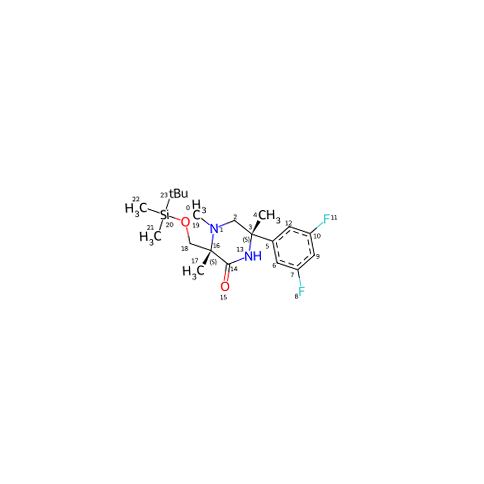 CN1C[C@](C)(c2cc(F)cc(F)c2)NC(=O)[C@]1(C)CO[Si](C)(C)C(C)(C)C